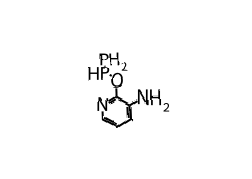 Nc1cccnc1OPP